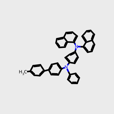 Cc1ccc(-c2ccc(N(c3ccccc3)c3ccc(N(c4cccc5ccccc45)c4cccc5ccccc45)cc3)cc2)cc1